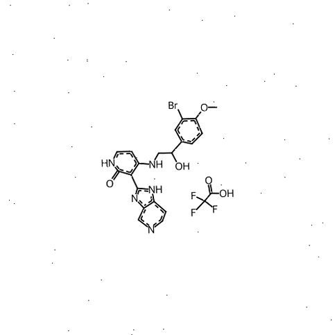 COc1ccc(C(O)CNc2cc[nH]c(=O)c2-c2nc3cnccc3[nH]2)cc1Br.O=C(O)C(F)(F)F